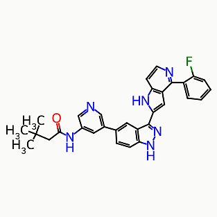 CC(C)(C)CC(=O)Nc1cncc(-c2ccc3[nH]nc(-c4cc5c(-c6ccccc6F)nccc5[nH]4)c3c2)c1